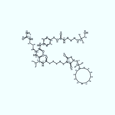 CC(C)[C@H](NC(=O)CCCCCN1C(=O)CC(SC(C)(C)C2CCCCCCCCCCC2)C1=O)C(=O)N[C@@H](CCCNC(N)=O)C(=O)Nc1ccc(COC(=O)NCCCOC(C)(C)CO)cc1